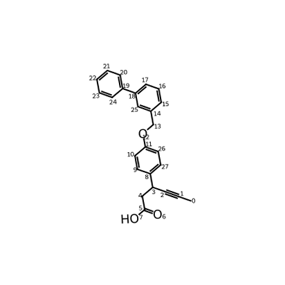 CC#CC(CC(=O)O)c1ccc(OCc2cccc(-c3ccccc3)c2)cc1